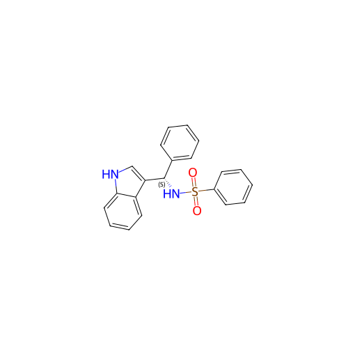 O=S(=O)(N[C@@H](c1ccccc1)c1c[nH]c2ccccc12)c1ccccc1